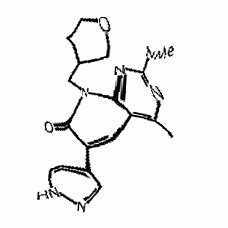 CNc1nc(C)c2cc(-c3cn[nH]c3)c(=O)n(CC3CCOC3)c2n1